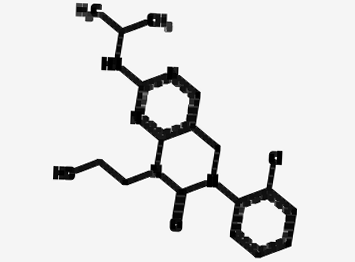 CC(C)Nc1ncc2c(n1)N(CCO)C(=O)N(c1ccccc1Cl)C2